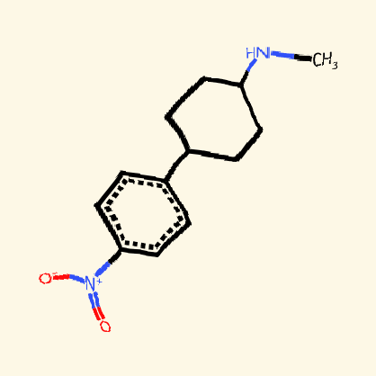 CNC1CCC(c2ccc([N+](=O)[O-])cc2)CC1